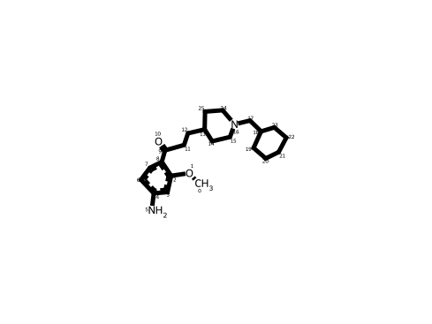 COc1cc(N)ccc1C(=O)CCC1CCN(CC2CCCCC2)CC1